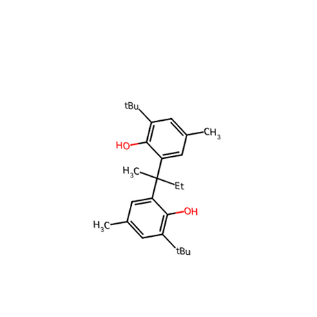 CCC(C)(c1cc(C)cc(C(C)(C)C)c1O)c1cc(C)cc(C(C)(C)C)c1O